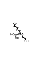 COB(O)O.OCCOCCOCCO